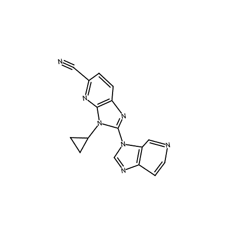 N#Cc1ccc2nc(-n3cnc4ccncc43)n(C3CC3)c2n1